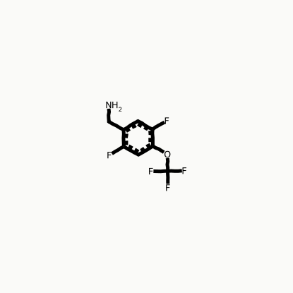 NCc1cc(F)c(OC(F)(F)F)cc1F